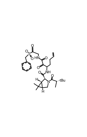 C=CCCC(NC(=O)[C@@H]1[C@@H]2[C@H](CN1C(=O)[C@@H](C)C(C)(C)C)C2(C)C)C(=O)C(=O)NCC(=O)S(=O)(=O)Cc1ccccc1